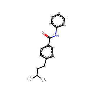 C[C](C)CCc1ccc(C(=O)Nc2ccccc2)cc1